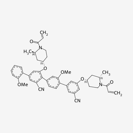 C=CC(=O)N1CC[C@H](Oc2cc(-c3ccccc3OC)cc(C#N)c2-c2ccc(-c3cc(C#N)cc(O[C@H]4CCN(C(=O)C=C)[C@@H](C)C4)c3)c(OC)c2)C[C@H]1C